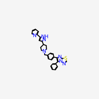 c1ccc(-c2c(-c3ccc(CN4CCC(c5cc(-c6ccccn6)[nH]n5)CC4)cc3)nc3scnn23)cc1